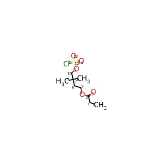 CCC(=O)OCCC(C)(C)COS(=O)(=O)Cl